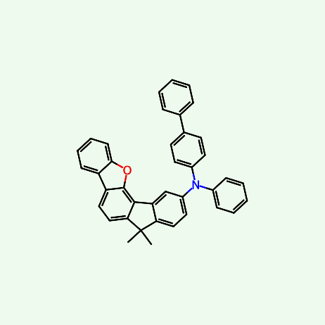 CC1(C)c2ccc(N(c3ccccc3)c3ccc(-c4ccccc4)cc3)cc2-c2c1ccc1c2oc2ccccc21